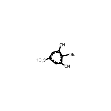 CC(C)(C)c1c(C#N)cc(S(=O)(=O)O)cc1C#N